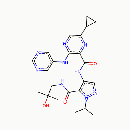 CC(C)n1ncc(NC(=O)c2nc(C3CC3)cnc2Nc2cncnc2)c1C(=O)NCC(C)(C)O